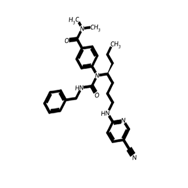 CCC[C@@H](CCCNc1ccc(C#N)cn1)N(C(=O)NCc1ccccc1)c1ccc(C(=O)N(C)C)cc1